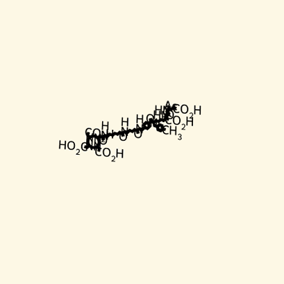 CC(=O)[C@@H](CCC(=O)O)NC(=O)N[C@H](CCCCN(Cc1ccc(C)cc1)C(=O)c1ccc(CNC(=O)CCCCNC(=O)CCCCCCNC(=O)CN2CCN(CC(=O)O)CCN(CC(=O)O)CCN(CC(=O)O)CC2)cc1)C(=O)O